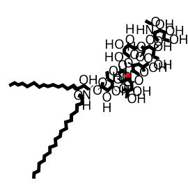 CCCCCCCCCCCCC/C=C/[C@@H](O)[C@H](CO[C@@H]1OC(CO)[C@@H](O[C@@H]2OC(CO)[C@H](O)[C@H](O[C@@H]3OC(CO)[C@@H](O[C@@H]4OC(CO)[C@H](O)[C@H](O[C@@H]5OC(CO)[C@@H](O)[C@H](O)C5NC(C)=O)C4O)[C@H](O[C@H]4OC(C)[C@@H](O)C(O)[C@@H]4O)C3NC(C)=O)C2O)[C@H](O)C1O)NC(=O)CCCCCCCCCCCCCCCCCCC